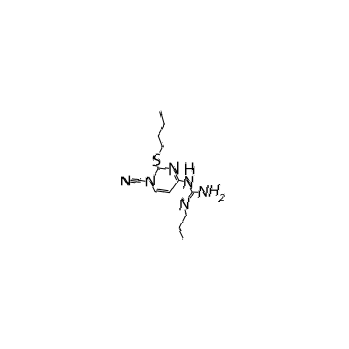 CCCCSC1N=C(NC(N)=NCCC)C=CN1C#N